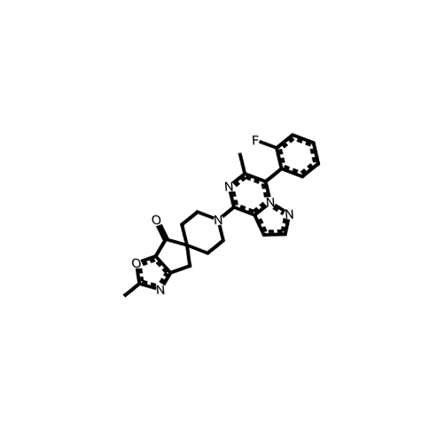 Cc1nc2c(o1)C(=O)C1(CCN(c3nc(C)c(-c4ccccc4F)n4nccc34)CC1)C2